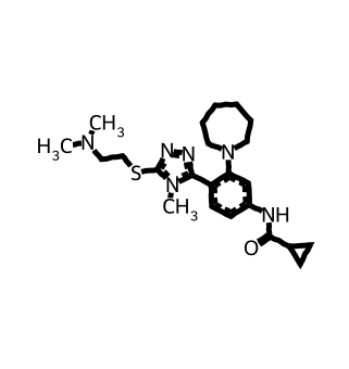 CN(C)CCSc1nnc(-c2ccc(NC(=O)C3CC3)cc2N2CCCCCC2)n1C